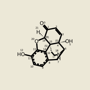 O=C1C=C[C@@]2(O)C3Cc4ccc(O)c5c4[C@@]2(CCN3)[C@H]1O5